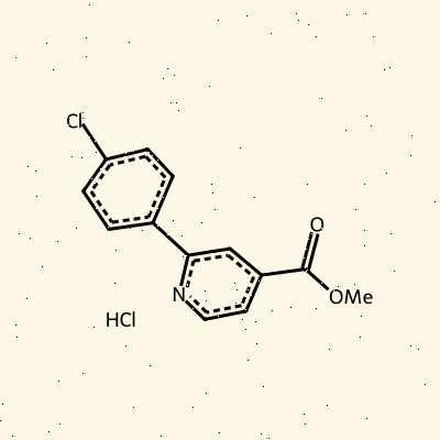 COC(=O)c1ccnc(-c2ccc(Cl)cc2)c1.Cl